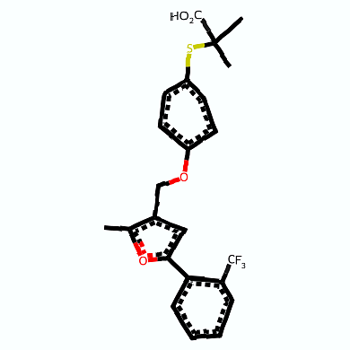 Cc1oc(-c2ccccc2C(F)(F)F)cc1COc1ccc(SC(C)(C)C(=O)O)cc1